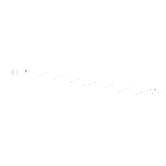 COCCCCCCOCCCCCCO[C]=O